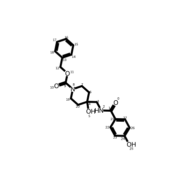 O=C(NCC1(O)CCN(C(=O)OCc2ccccc2)CC1)c1ccc(O)cc1